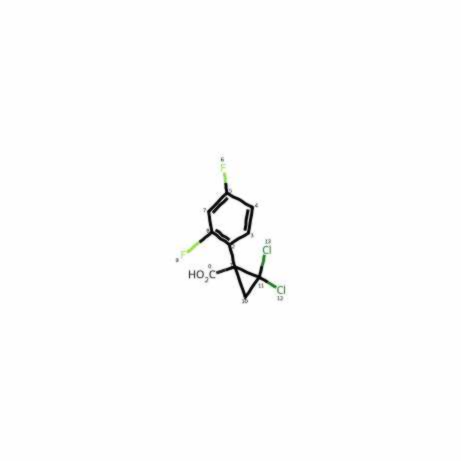 O=C(O)C1(c2ccc(F)cc2F)CC1(Cl)Cl